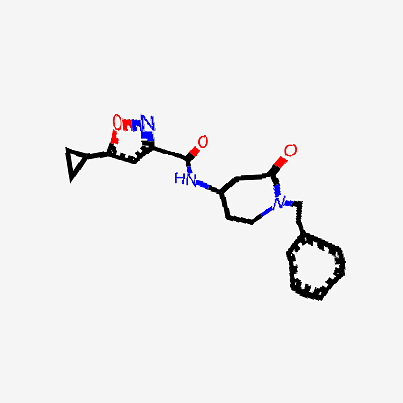 O=C(NC1CCN(Cc2ccccc2)C(=O)C1)c1cc(C2CC2)on1